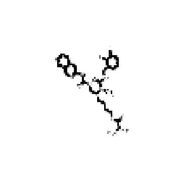 CC(C)[C@H](N)C(=O)OCCCC[C@@H](COC(=O)Nc1cc2ccccc2cn1)N(C)C(=O)NCc1cccc(F)c1F